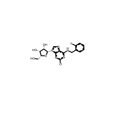 OC[C@H]1O[C@@H](n2cnc3c(NCc4ccccc4F)nc(Cl)nc32)[C@@H](O)[C@H]1O